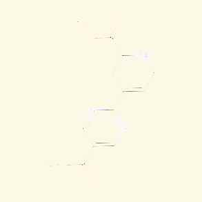 COC(=O)c1cnc(C2=CCNC(C(=O)OC(C)(C)C)C2)nc1